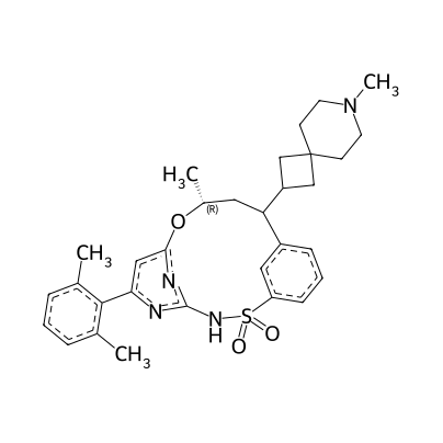 Cc1cccc(C)c1-c1cc2nc(n1)NS(=O)(=O)c1cccc(c1)C(C1CC3(CCN(C)CC3)C1)C[C@@H](C)O2